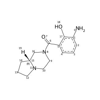 Nc1cccc(C(=O)N2CCN3CCC[C@@H]3C2)c1O